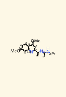 C=C(/N=C(\C)NC(C)C)c1cc(OC)c2ccc(OC)cc2n1